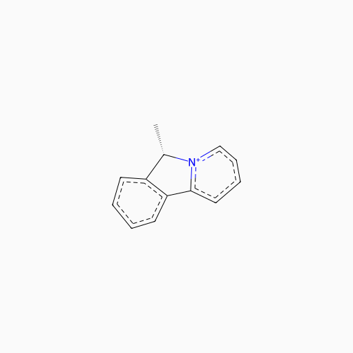 C[C@H]1c2ccccc2-c2cccc[n+]21